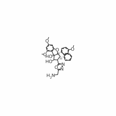 COc1ccc([C@@]23Oc4cc(OC)cc(OC)c4[C@]2(O)C(O)C(c2nnc(CN)o2)[C@H]3c2ccccc2)cc1